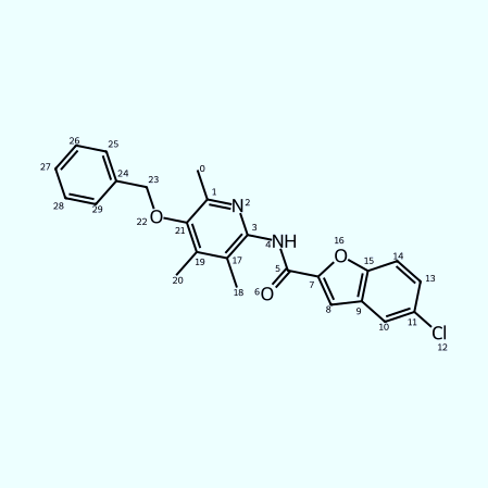 Cc1nc(NC(=O)c2cc3cc(Cl)ccc3o2)c(C)c(C)c1OCc1ccccc1